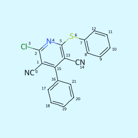 N#Cc1c(Cl)nc(Sc2ccccc2)c(C#N)c1-c1ccccc1